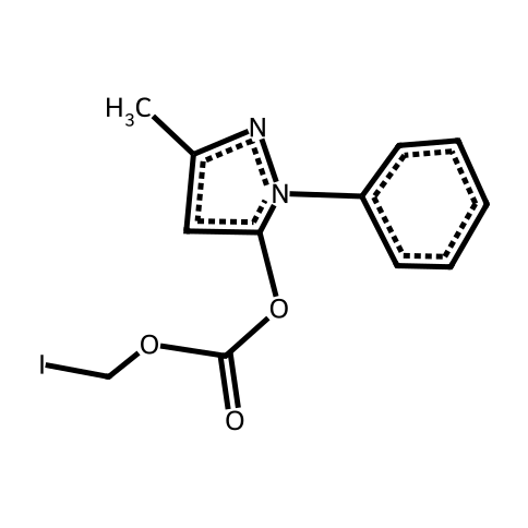 Cc1cc(OC(=O)OCI)n(-c2ccccc2)n1